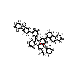 CC1(C)c2ccccc2-c2ccc(C3=C(N(c4cccc(-c5ccc6c(c5)oc5ccccc56)c4)c4cccc(-c5cccc6c5ccc5ccccc56)c4)CCC=C3)cc21